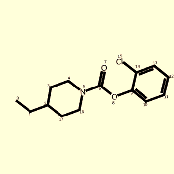 CCC1CCN(C(=O)Oc2ccccc2Cl)CC1